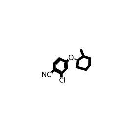 CC1CCCC[C@@H]1Oc1ccc(C#N)c(Cl)c1